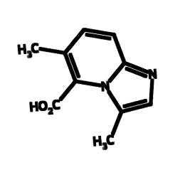 Cc1ccc2ncc(C)n2c1C(=O)O